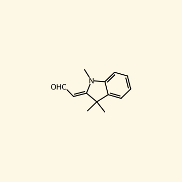 CN1C(=CC=O)C(C)(C)c2ccccc21